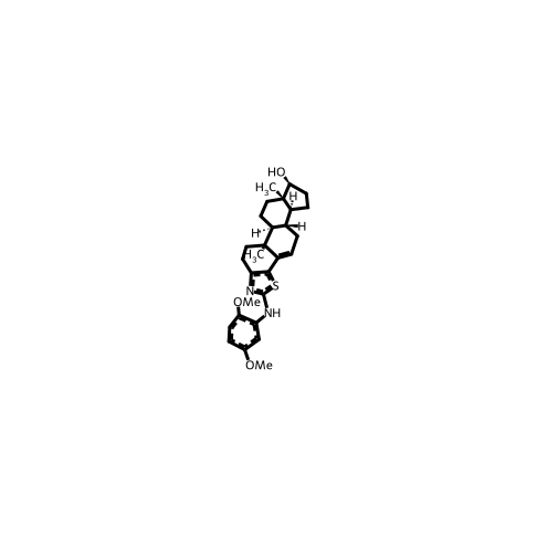 COc1ccc(OC)c(Nc2nc3c(s2)C2=CC[C@H]4[C@@H]5CC[C@H](O)[C@@]5(C)CC[C@@H]4[C@@]2(C)CC3)c1